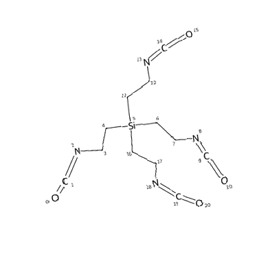 O=C=NCC[Si](CCN=C=O)(CCN=C=O)CCN=C=O